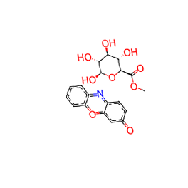 COC(=O)[C@H]1O[C@@H](O)[C@H](O)[C@@H](O)[C@@H]1O.O=c1ccc2nc3ccccc3oc-2c1